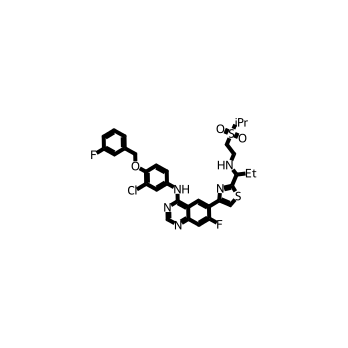 CCC(NCCS(=O)(=O)C(C)C)c1nc(-c2cc3c(Nc4ccc(OCc5cccc(F)c5)c(Cl)c4)ncnc3cc2F)cs1